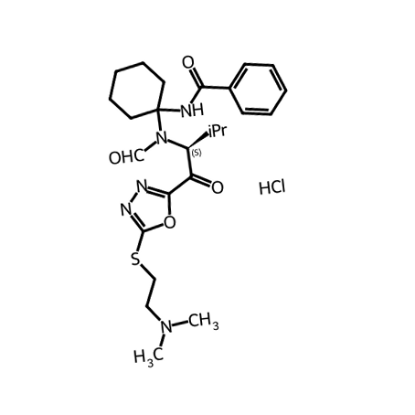 CC(C)[C@@H](C(=O)c1nnc(SCCN(C)C)o1)N(C=O)C1(NC(=O)c2ccccc2)CCCCC1.Cl